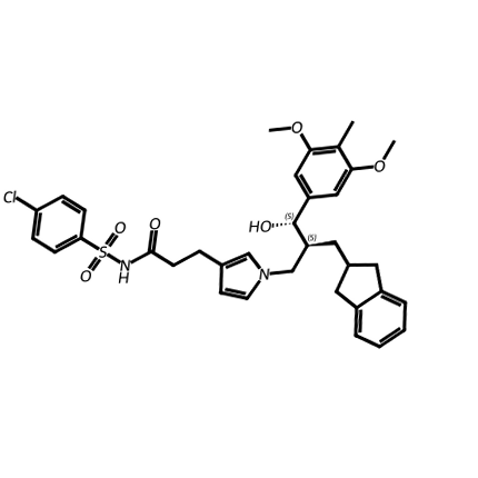 COc1cc([C@@H](O)[C@@H](CC2Cc3ccccc3C2)Cn2ccc(CCC(=O)NS(=O)(=O)c3ccc(Cl)cc3)c2)cc(OC)c1C